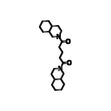 O=C(CCCC(=O)N1CCC2CCCCC2C1)N1CCC2CCCCC2C1